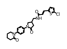 O=C(C=Cc1ccc(Cl)s1)NCC1CC(=O)N(c2ccc(N3CCCCC3=O)cc2)C1